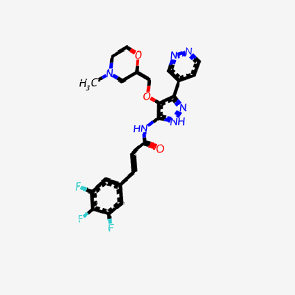 CN1CCOC(COc2c(-c3ccnnc3)n[nH]c2NC(=O)C=Cc2cc(F)c(F)c(F)c2)C1